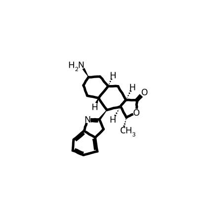 C[C@H]1OC(=O)[C@@H]2C[C@@H]3C[C@H](N)CC[C@H]3[C@H](C3=Nc4ccccc4C3)[C@H]12